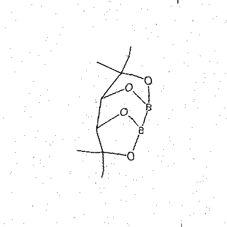 CC1(C)OB2OC1C1OB2OC1(C)C